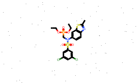 CCOP(=O)(CN(c1ccc2nc(C)sc2c1)S(=O)(=O)c1cc(Cl)cc(Cl)c1)OCC